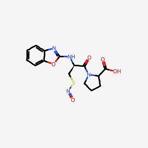 O=NSC[C@@H](Nc1nc2ccccc2o1)C(=O)N1CCCC1C(=O)O